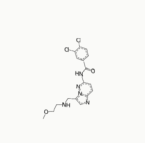 COCCNCc1cnc2ccc(NC(=O)c3ccc(Cl)c(Cl)c3)nn12